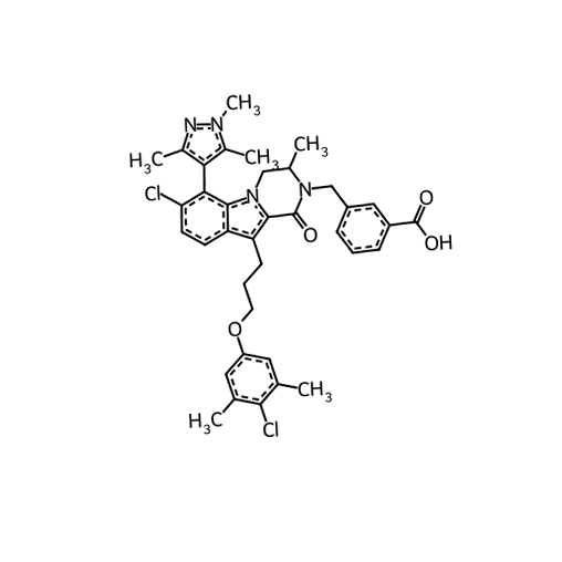 Cc1cc(OCCCc2c3n(c4c(-c5c(C)nn(C)c5C)c(Cl)ccc24)CC(C)N(Cc2cccc(C(=O)O)c2)C3=O)cc(C)c1Cl